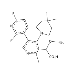 Cc1ncc(-c2ccc(F)nc2F)c(N2CCC(C)(C)CC2)c1C(OC(C)(C)C)C(=O)O